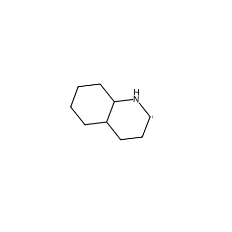 [C]1CCC2CCCCC2N1